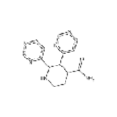 NC(=O)C1CCNC(c2ccncn2)C1c1ccncn1